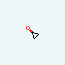 O=C1CC1